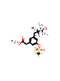 COC(=O)Cc1cc(CC(C)(C)[Si](C)(C)O)cc(OS(=O)(=O)C(F)(F)F)c1